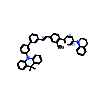 C=C(/C=C\C(=C/C)N1CCCc2ccccc21)c1ccc(/C=C/c2cccc(-c3cccc(N4c5ccccc5C(C)(C)c5ccccc54)c3)c2)cc1C(C)(C)C